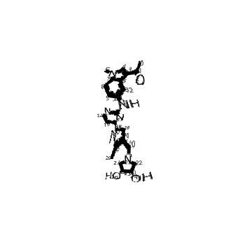 CC(=O)c1cn(C)c2ccc(Nc3nccc(-n4cc(CN5C[C@H](O)[C@@H](O)C5)c(C)n4)n3)cc12